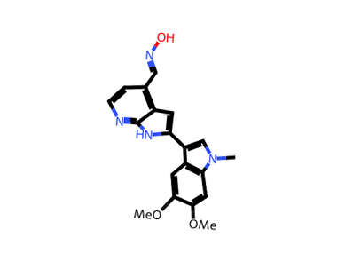 COc1cc2c(-c3cc4c(C=NO)ccnc4[nH]3)cn(C)c2cc1OC